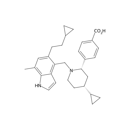 Cc1cc(CCC2CC2)c(CN2CC[C@@H](C3CC3)C[C@H]2c2ccc(C(=O)O)cc2)c2cc[nH]c12